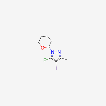 Cc1nn(C2CCCCO2)c(F)c1I